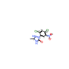 CC1NC(=O)N(c2cc([N+](=O)[O-])c(Cl)cc2Cl)N1